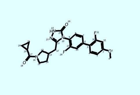 COc1ccc(-c2ccc(-n3c(CC4CCN(C(=O)C5CC5)C4)n[nH]c3=O)c(F)c2)c(F)c1